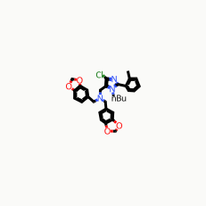 CCCCn1c(-c2ccccc2C)nc(Cl)c1CN(Cc1ccc2c(c1)OCO2)Cc1ccc2c(c1)OCO2